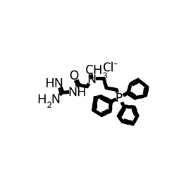 CN(CCC[P+](c1ccccc1)(c1ccccc1)c1ccccc1)CC(=O)NC(=N)N.[Cl-]